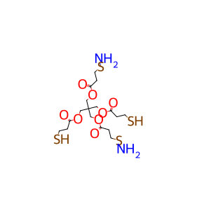 NSCCC(=O)OCC(COC(=O)CCS)(COC(=O)CCS)COC(=O)CCSN